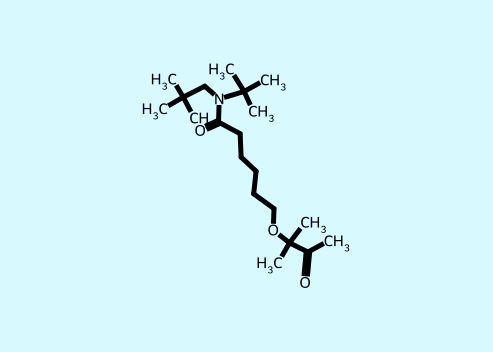 CC(=O)C(C)(C)OCCCCCC(=O)N(CC(C)(C)C)C(C)(C)C